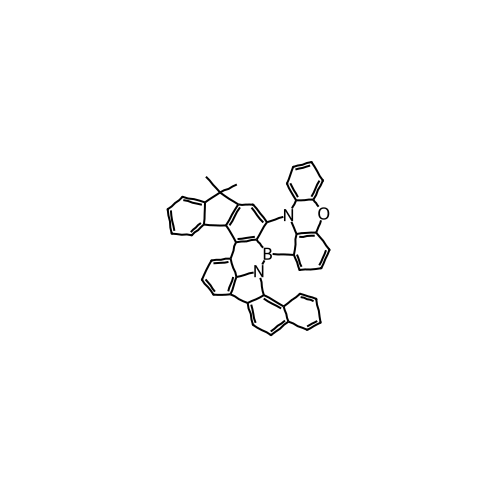 CC1(C)c2ccccc2-c2c1cc1c3c2-c2cccc4c5ccc6ccccc6c5n(c24)B3c2cccc3c2N1c1ccccc1O3